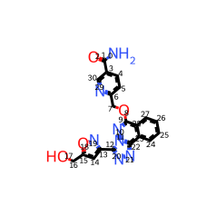 NC(=O)c1ccc(COc2nn3c(-c4cc(CO)on4)nnc3c3ccccc23)nc1